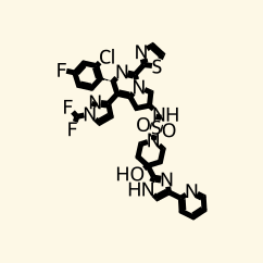 O=S(=O)(NC1CC2=C(c3ccn(C(F)F)n3)[C@H](c3ccc(F)cc3Cl)N=C(c3nccs3)N2C1)N1CCC(O)(c2nc(-c3ccccn3)c[nH]2)CC1